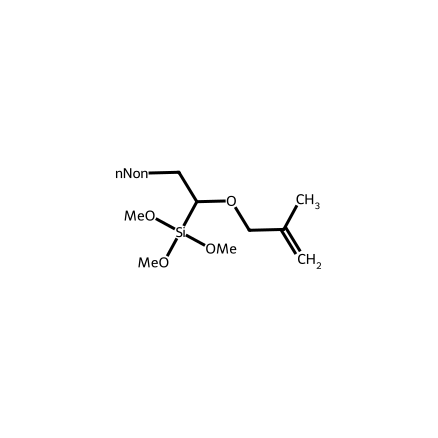 C=C(C)COC(CCCCCCCCCC)[Si](OC)(OC)OC